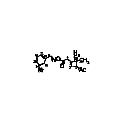 CC(=O)[C@H]1C[C@@H](CC(=O)ON=Cc2cccc(Br)c2)C1(C)C